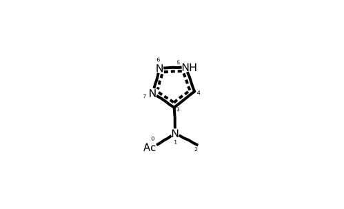 CC(=O)N(C)c1c[nH]nn1